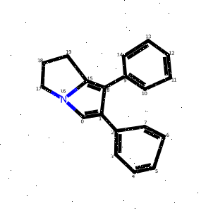 [c]1c(-c2ccccc2)c(-c2ccccc2)c2n1CCC2